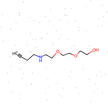 C#CCCNCCOCCOCCO